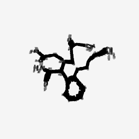 CCCCc1ccccc1C(C(N)=O)N(CC(=O)O)CC(=O)O